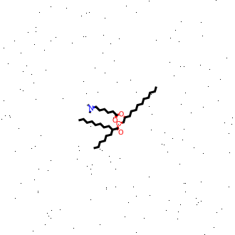 CCCCCCCCCCC(COC(=O)C(CCCCCC)CCCCCCCC)OC(=O)CCCCCN(C)C